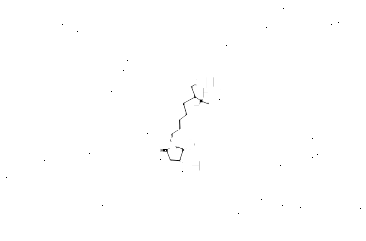 CCC(CCCCCN1C(=O)CC(C)C1=O)C(F)(F)F